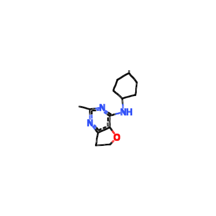 Cc1nc2c(c(NC3CC[CH]CC3)n1)OCC2